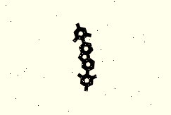 Cc1cc(C)c(-c2ccc3c(c2)Cc2cc(-c4c(C)cc(C)cc4C)ccc2-3)c(C)c1